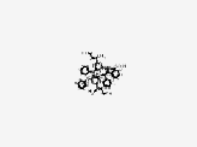 CN(CCO)c1nc(NC(C2=CC=CCC2(S(=O)(=O)O)S(=O)(=O)O)=C(Nc2nc(Nc3ccccc3)nc(N(C)CCO)n2)c2ccccc2)nc(Nc2ccccc2)n1